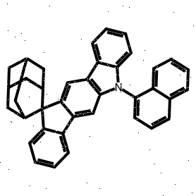 c1ccc2c(c1)-c1cc3c(cc1C21C2CC4CC(C2)CC1C4)c1ccccc1n3-c1cccc2ccccc12